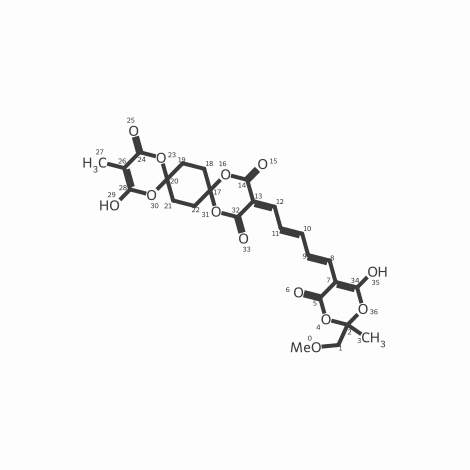 COCC1(C)OC(=O)C(/C=C/C=C/C=C2C(=O)OC3(CCC4(CC3)OC(=O)C(C)=C(O)O4)OC2=O)=C(O)O1